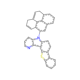 C1=Cc2c(-n3c4cccnc4c4c5sc6ccccc6c5ccc43)cc3cccc4c3c2C(=CC4)C1